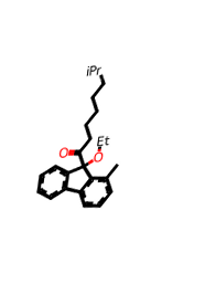 CCOC1(C(=O)CCCCCC(C)C)c2ccccc2-c2cccc(C)c21